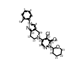 Cc1ccccc1-n1cc2c(n1)CCN(c1cnn(C3CCCCO3)c(=O)c1Cl)C2